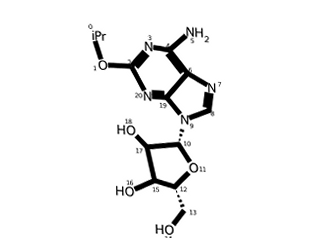 CC(C)Oc1nc(N)c2ncn([C@@H]3O[C@H](CO)C(O)C3O)c2n1